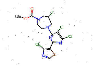 CC(C)(C)OC(=O)N1CCN(c2nc(-c3scnc3Cl)nc(Cl)c2Cl)CC(F)C1